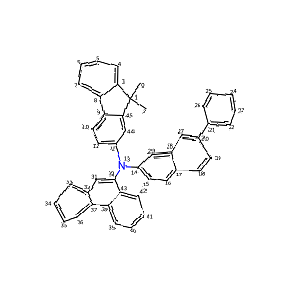 CC1(C)c2ccccc2-c2ccc(N(c3ccc4ccc(-c5ccccc5)cc4c3)c3cc4ccccc4c4ccccc34)cc21